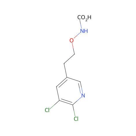 O=C(O)NOCCc1cnc(Cl)c(Cl)c1